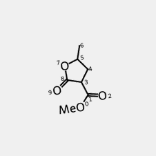 COC(=O)C1CC(C)OC1=O